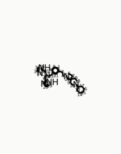 c1cc(CCN2CCC3(CCN(C4CCCCC4)CC3)C2)cc(CN(Cc2ncc[nH]2)Cc2ncc[nH]2)c1